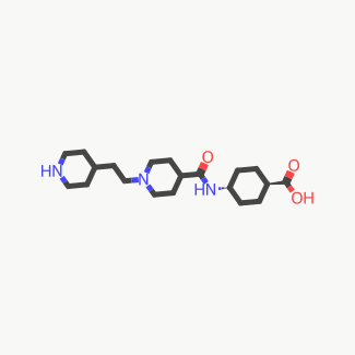 O=C(N[C@H]1CC[C@H](C(=O)O)CC1)C1CCN(CCC2CCNCC2)CC1